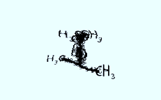 CCCCCCCCC(CCCCCCCC)CCCCOC(=O)CCCC(=O)N(C)OC